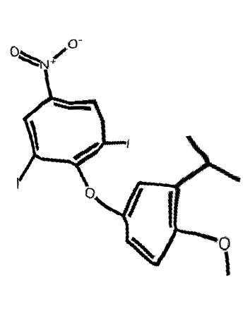 COc1ccc(Oc2c(I)cc([N+](=O)[O-])cc2I)cc1C(C)C